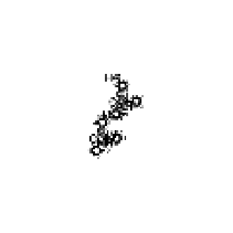 Cc1ccccc1NC(=O)C(Cc1ccc(Oc2ccc(C)c(NC(=O)C(Cc3cccc(O)c3)NC(=O)c3ccccc3)c2)cc1)NC(=O)c1ccccc1